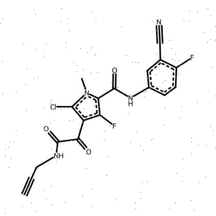 C#CCNC(=O)C(=O)c1c(F)c(C(=O)Nc2ccc(F)c(C#N)c2)n(C)c1Cl